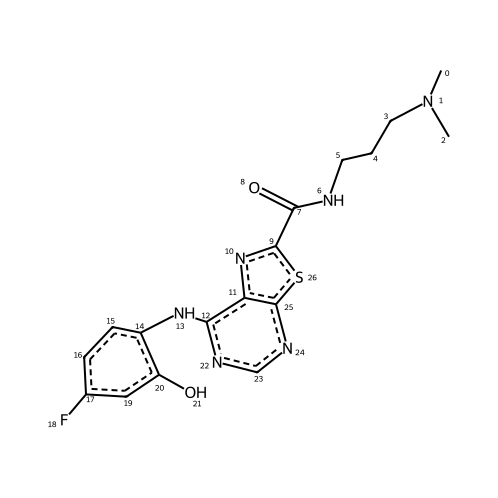 CN(C)CCCNC(=O)c1nc2c(Nc3ccc(F)cc3O)ncnc2s1